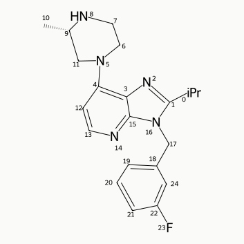 CC(C)c1nc2c(N3CCN[C@@H](C)C3)ccnc2n1Cc1cccc(F)c1